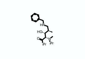 CC(C)C(=O)[C@H]([C@H](O)[C@H](C)CNCc1ccccc1)N(C)C(C)C